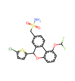 NS(=O)(=O)Cc1ccc2c(c1)C(c1ccc(Cl)s1)Oc1cccc(OC(F)F)c1-2